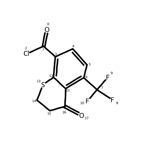 O=C(Cl)c1ccc(C(F)(F)F)c2c1SCCC2=O